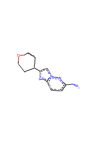 Nc1ccc2nc(C3CCOCC3)cn2n1